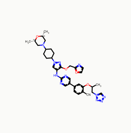 CC(Cn1cnnn1)Oc1cc(-c2cnc(Nc3cn(C4CCC(N5C[C@@H](C)O[C@@H](C)C5)CC4)nc3OCc3ncco3)nc2)ccc1C#N